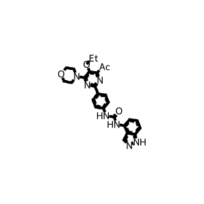 CCOc1c(C(C)=O)nc(-c2ccc(NC(=O)Nc3cccc4[nH]ncc34)cc2)nc1N1CCOCC1